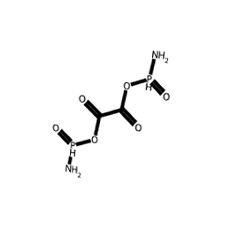 N[PH](=O)OC(=O)C(=O)O[PH](N)=O